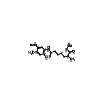 COc1cc(NC(=O)CCCCN(C)C(=O)OC(C)(C)C)c(Cl)cc1C